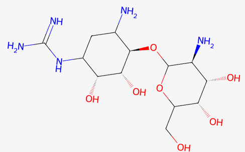 N=C(N)NC1CC(N)[C@@H](OC2OC(CO)[C@@H](O)[C@@H](O)[C@@H]2N)[C@H](O)[C@@H]1O